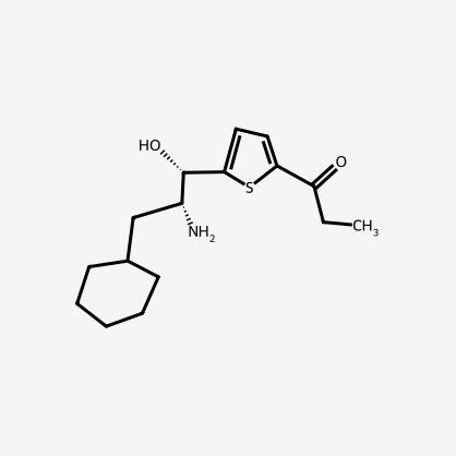 CCC(=O)c1ccc([C@@H](O)[C@H](N)CC2CCCCC2)s1